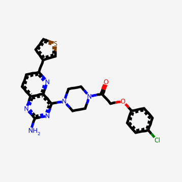 Nc1nc(N2CCN(C(=O)COc3ccc(Cl)cc3)CC2)c2nc(-c3ccsc3)ccc2n1